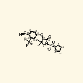 CC1(C)CN(S(=O)(=O)c2cccs2)C(=O)C1Oc1ccc(C#N)c(C(F)(F)F)c1